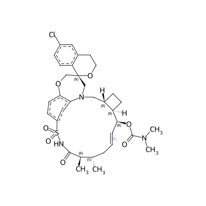 C[C@H]1C/C=C/[C@H](OC(=O)N(C)C)[C@@H]2CC[C@H]2CN2C[C@]3(COc4ccc(cc42)S(=O)(=O)NC(=O)[C@@H]1C)OCCc1cc(Cl)ccc13